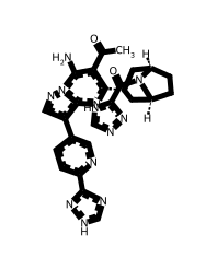 CC(=O)c1c([C@@H]2C[C@H]3CC[C@@H](C2)N3C(=O)c2nnc[nH]2)nc2c(-c3ccc(-c4nc[nH]n4)nc3)cnn2c1N